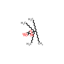 CCCCCCCCC(CCCCCCCC)C(CCCCCCCC)(CCCCCCCC)C(=O)OCC(CO)(CO)CO